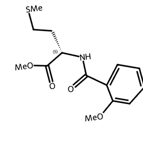 COC(=O)[C@H](CCSC)NC(=O)c1ccccc1OC